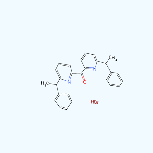 Br.CC(c1ccccc1)c1cccc(C(=O)c2cccc(C(C)c3ccccc3)n2)n1